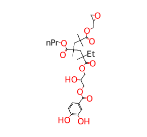 CCCOC(=O)C(C)(CC(C)(C)C(=O)OCC1CO1)CC(C)(CC)C(=O)OCC(O)COC(=O)c1ccc(O)c(O)c1